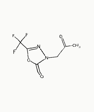 CC(=O)Cn1nc(C(F)(F)F)oc1=O